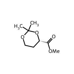 COC(=O)[C@@H]1CCOC(C)(C)O1